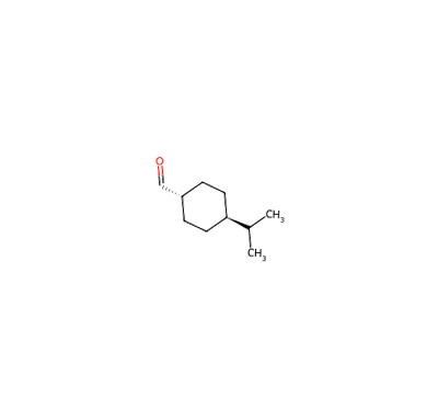 CC(C)[C@H]1CC[C@H](C=O)CC1